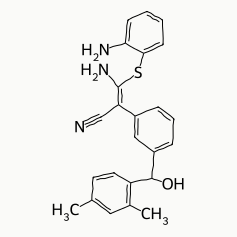 Cc1ccc(C(O)c2cccc(/C(C#N)=C(/N)Sc3ccccc3N)c2)c(C)c1